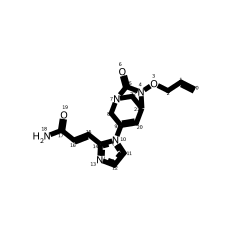 C=CCON1C(=O)N2CC(n3ccnc3C=CC(N)=O)=CC1C2